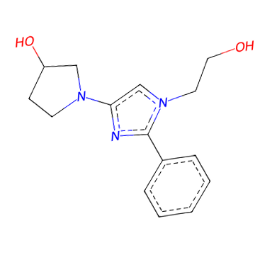 OCCn1cc(N2CCC(O)C2)nc1-c1ccccc1